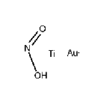 O=NO.[Au].[Ti]